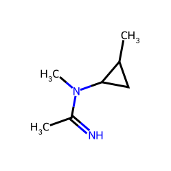 CC(=N)N(C)C1CC1C